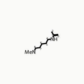 C=C(C)NCCCCCNC